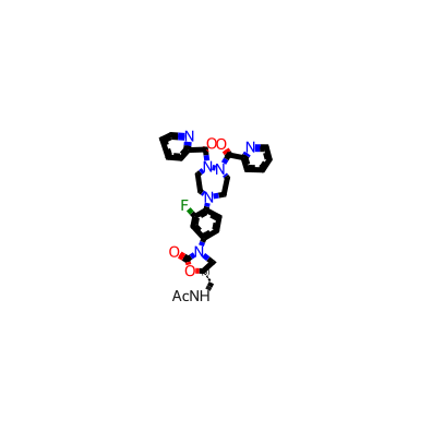 CC(=O)NC[C@H]1CN(c2ccc(N3CCN(C(=O)c4ccccn4)N(C(=O)c4ccccn4)CC3)c(F)c2)C(=O)O1